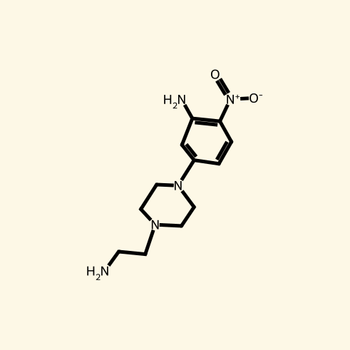 NCCN1CCN(c2ccc([N+](=O)[O-])c(N)c2)CC1